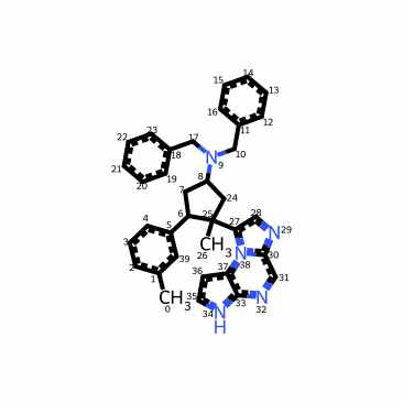 Cc1cccc(C2CC(N(Cc3ccccc3)Cc3ccccc3)CC2(C)c2cnc3cnc4[nH]ccc4n23)c1